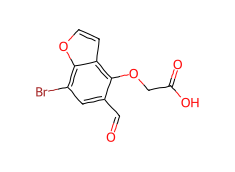 O=Cc1cc(Br)c2occc2c1OCC(=O)O